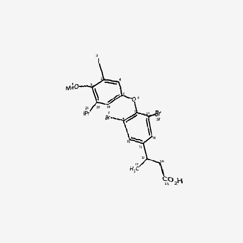 COc1c(I)cc(Oc2c(Br)cc(C(C)CC(=O)O)cc2Br)cc1C(C)C